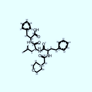 CC(C)C[C@H](NC(=O)C(CCc1ccccc1)NC(=O)CN1CCOCC1)C(=O)NC(Cc1ccccc1)C(=O)O